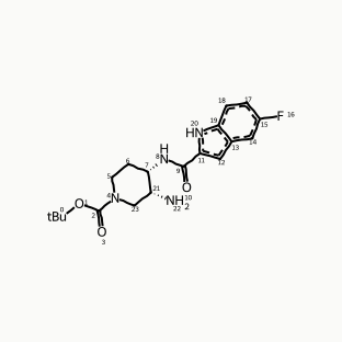 CC(C)(C)OC(=O)N1CC[C@H](NC(=O)c2cc3cc(F)ccc3[nH]2)[C@H](N)C1